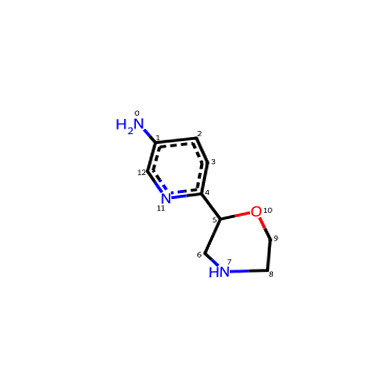 Nc1ccc(C2CNCCO2)nc1